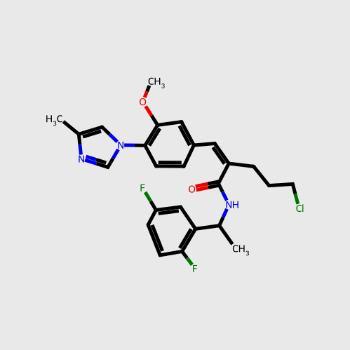 COc1cc(C=C(CCCCl)C(=O)NC(C)c2cc(F)ccc2F)ccc1-n1cnc(C)c1